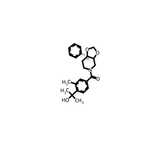 Cc1cc(C(=O)N2CC[C@@]3(c4ccccc4)OCOC3C2)ccc1C(C)(C)O